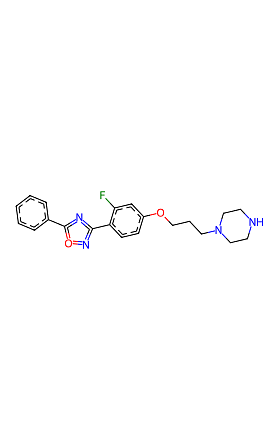 Fc1cc(OCCCN2CCNCC2)ccc1-c1noc(-c2ccccc2)n1